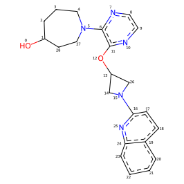 OC1CCCN(c2nccnc2OC2CN(c3ccc4ccccc4n3)C2)CC1